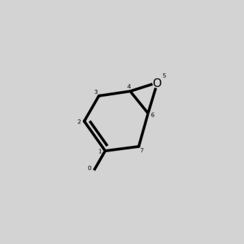 CC1=CCC2OC2C1